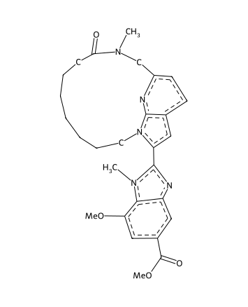 COC(=O)c1cc(OC)c2c(c1)nc(-c1cc3ccc4nc3n1CCCCCCCC(=O)N(C)C4)n2C